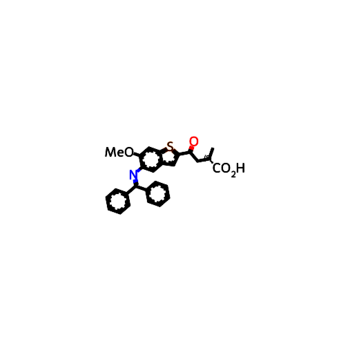 COc1cc2sc(C(=O)C[C@H](C)C(=O)O)cc2cc1N=C(c1ccccc1)c1ccccc1